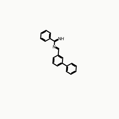 N=C(/N=C/c1cccc(-c2ccccc2)c1)c1ccccc1